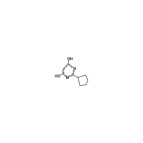 Oc1cc(O)nc(C2CCCC2)n1